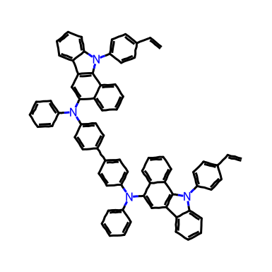 C=Cc1ccc(-n2c3ccccc3c3cc(N(c4ccccc4)c4ccc(-c5ccc(N(c6ccccc6)c6cc7c8ccccc8n(-c8ccc(C=C)cc8)c7c7ccccc67)cc5)cc4)c4ccccc4c32)cc1